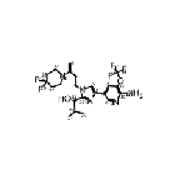 C=C(CCn1cc(-c2cnc(N)c(OC(F)(F)F)c2)nc1[C@@H](O)C(C)C)N1CCC(F)(F)CC1